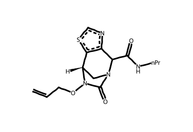 C=CCON1C(=O)N2C[C@H]1c1scnc1C2C(=O)NCCC